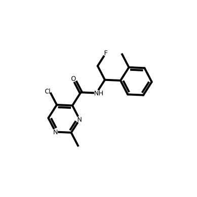 Cc1ncc(Cl)c(C(=O)NC(CF)c2ccccc2C)n1